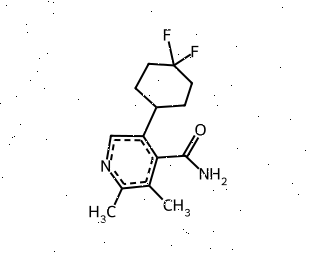 Cc1ncc(C2CCC(F)(F)CC2)c(C(N)=O)c1C